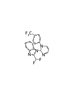 FC(F)c1nc2ccccc2n1C1N=CC=CN1c1ccc(C(F)(F)F)cc1